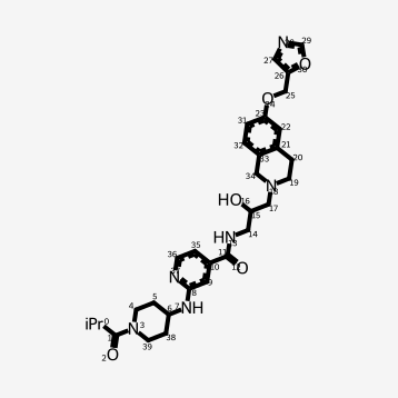 CC(C)C(=O)N1CCC(Nc2cc(C(=O)NCC(O)CN3CCc4cc(OCc5cnco5)ccc4C3)ccn2)CC1